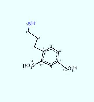 [NH]CCCc1ccc(S(=O)(=O)O)cc1S(=O)(=O)O